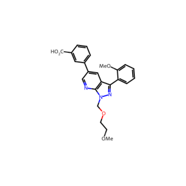 COCCOCn1nc(-c2ccccc2OC)c2cc(-c3cccc(C(=O)O)c3)cnc21